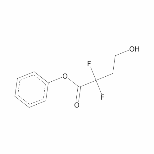 O=C(Oc1ccccc1)C(F)(F)CCO